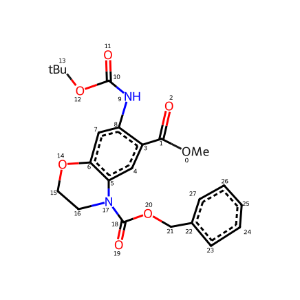 COC(=O)c1cc2c(cc1NC(=O)OC(C)(C)C)OCCN2C(=O)OCc1ccccc1